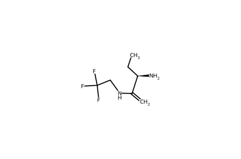 C=C(NCC(F)(F)F)[C@H](N)CC